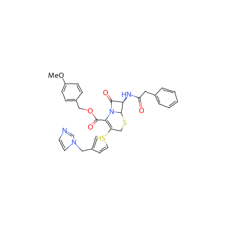 COc1ccc(COC(=O)C2=C([SH]3C=CC(Cn4ccnc4)=C3)CSC3[C@H](NC(=O)Cc4ccccc4)C(=O)N23)cc1